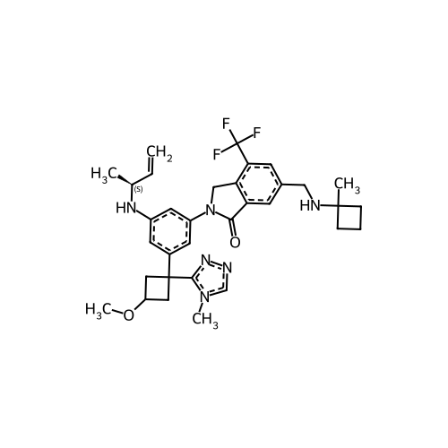 C=C[C@H](C)Nc1cc(N2Cc3c(cc(CNC4(C)CCC4)cc3C(F)(F)F)C2=O)cc(C2(c3nncn3C)CC(OC)C2)c1